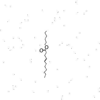 CCCCCC/C=C/CCC(=O)OCCCCCC